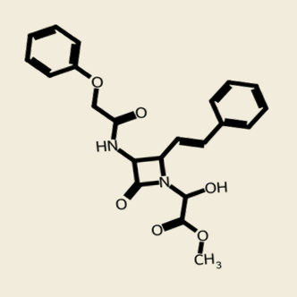 COC(=O)C(O)N1C(=O)C(NC(=O)COc2ccccc2)C1C=Cc1ccccc1